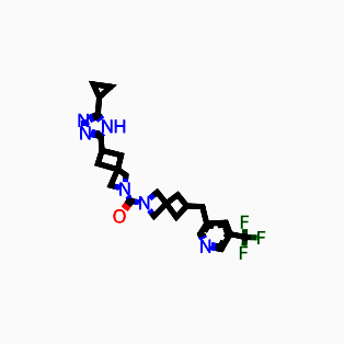 O=C(N1CC2(CC(Cc3cncc(C(F)(F)F)c3)C2)C1)N1CC2(CC(c3nnc(C4CC4)[nH]3)C2)C1